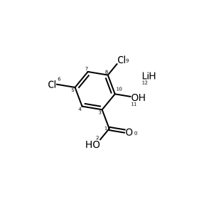 O=C(O)c1cc(Cl)cc(Cl)c1O.[LiH]